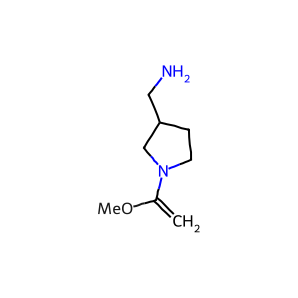 C=C(OC)N1CCC(CN)C1